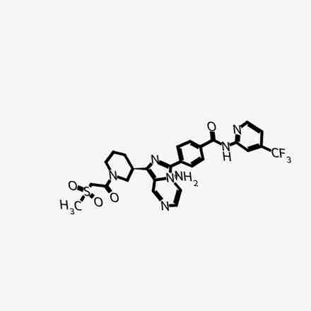 CS(=O)(=O)CC(=O)N1CCC[C@@H](C2=C3C=NC=C[N+]3(N)C(c3ccc(C(=O)Nc4cc(C(F)(F)F)ccn4)cc3)=N2)C1